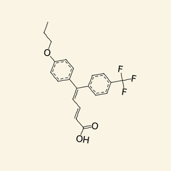 CCCOc1ccc(C(=CC=CC(=O)O)c2ccc(C(F)(F)F)cc2)cc1